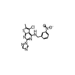 Cc1sc2nc(-n3cncn3)nc(NCc3cccc([N+](=O)[O-])c3)c2c1Cl